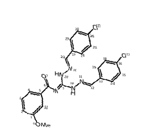 COc1cccc(C(=O)N=C(N/N=C/c2ccc(Cl)cc2)N/N=C/c2ccc(Cl)cc2)c1